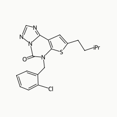 CC(C)CCc1cc2c(s1)n(Cc1ccccc1Cl)c(=O)n1ncnc21